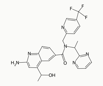 CC(O)c1cc(N)nc2ccc(C(=O)N(Cc3ccc(C(F)(F)F)cn3)C(C)c3ncccn3)cc12